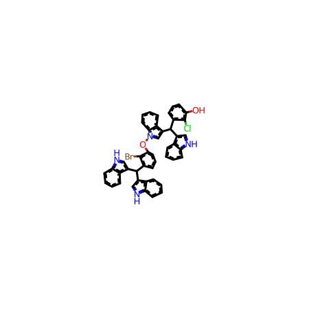 Oc1cccc(C(c2c[nH]c3ccccc23)c2cn(Oc3cccc(C(c4c[nH]c5ccccc45)c4c[nH]c5ccccc45)c3Br)c3ccccc23)c1Cl